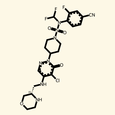 N#Cc1ccc(N(C(F)F)S(=O)(=O)N2CCC(n3ncc(NC[C@H]4COCCN4)c(Cl)c3=O)CC2)c(F)c1